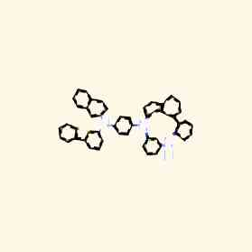 c1ccc2cc(N(c3ccc(-n4c5cccc(c5)[nH]c5ccccc5c5cccc6ccc4cc65)cc3)c3cccc4c3sc3ccccc34)ccc2c1